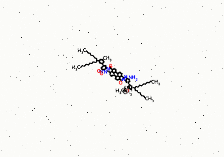 CCCCCCCCCCC(CCCCCCCC)c1cc(C)cc(-c2cc([N+](=O)[O-])c3nc4c5ccc6c7ccc8c(=O)n9c%10cc(-c%11cc(O[Si](C)(C)C)cc(C(CCCCCCCC)CCCCCCCCCC)c%11)cc(N)c%10nc9c9ccc(c%10ccc(c(=O)n4c3c2)c5c%106)c7c89)c1